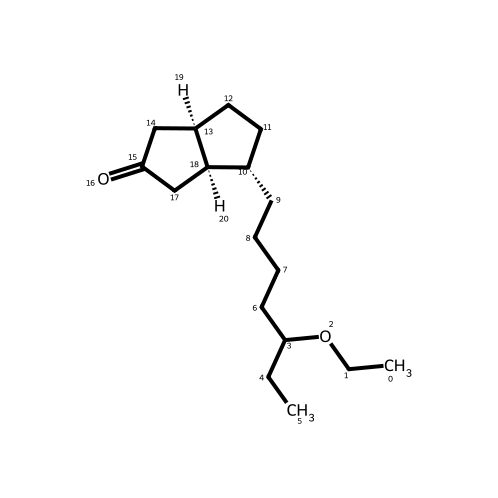 CCOC(CC)CCCC[C@H]1CC[C@@H]2CC(=O)C[C@H]12